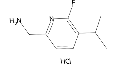 CC(C)c1ccc(CN)nc1F.Cl